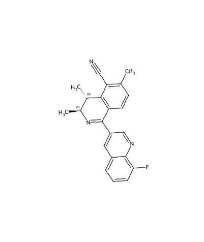 Cc1ccc2c(c1C#N)[C@@H](C)[C@H](C)N=C2c1cnc2c(F)cccc2c1